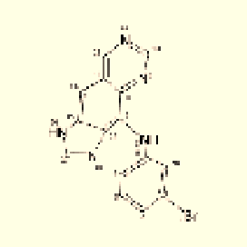 Brc1cccc(Nc2c3ncncc3cc3[nH]cnc23)c1